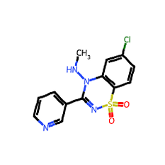 CNN1C(c2cccnc2)=NS(=O)(=O)c2ccc(Cl)cc21